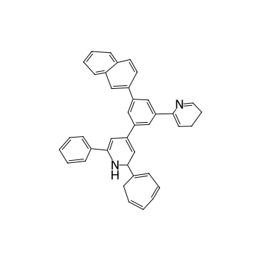 C1=CC=C(C2C=C(c3cc(C4=CCCC=N4)cc(-c4ccc5ccccc5c4)c3)C=C(c3ccccc3)N2)CC=C1